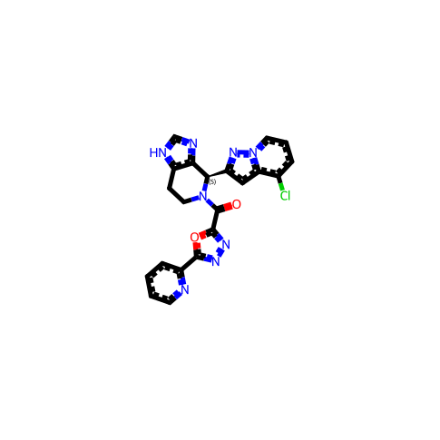 O=C(c1nnc(-c2ccccn2)o1)N1CCc2[nH]cnc2[C@H]1c1cc2c(Cl)cccn2n1